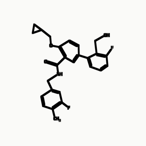 Cc1ccc(CNC(=O)c2cc(-c3cccc(F)c3CO)ccc2OCC2CC2)cc1F